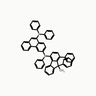 CC1(c2ccccc2)c2ccccc2-c2c(N(c3ccccc3)c3ccc4c(N(c5ccccc5)c5ccccc5)cc5ccccc5c4c3)ccc(-c3ccccc3)c21